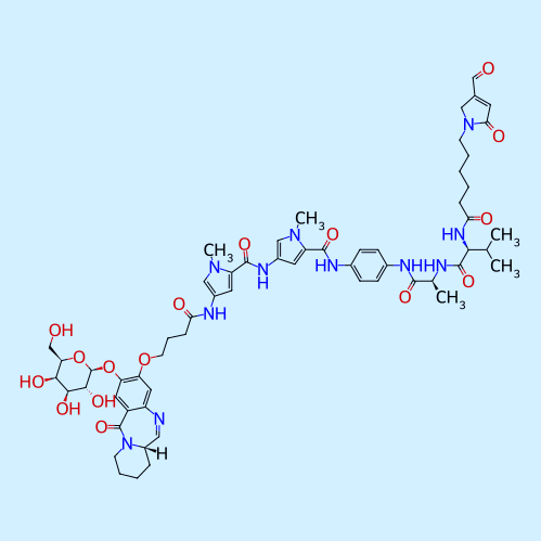 CC(C)[C@H](NC(=O)CCCCCN1CC(C=O)=CC1=O)C(=O)N[C@@H](C)C(=O)Nc1ccc(NC(=O)c2cc(NC(=O)c3cc(NC(=O)CCCOc4cc5c(cc4O[C@@H]4O[C@H](CO)[C@H](O)[C@H](O)[C@H]4O)C(=O)N4CCCC[C@H]4C=N5)cn3C)cn2C)cc1